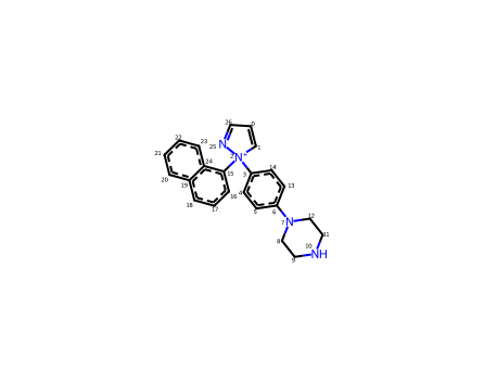 C1=C[N+](c2ccc(N3CCNCC3)cc2)(c2cccc3ccccc23)N=C1